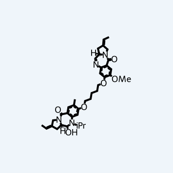 CC=C1C[C@H]2C=Nc3cc(OCCCCCOc4cc5c(cc4C)C(=O)N4CC(=CC)C[C@H]4C(O)N5C(C)C)c(OC)cc3C(=O)N2C1